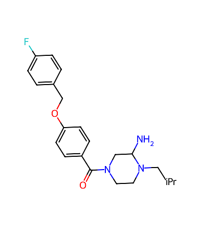 CC(C)CN1CCN(C(=O)c2ccc(OCc3ccc(F)cc3)cc2)CC1N